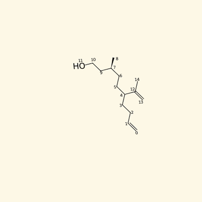 C=CCCC(CC[C@H](C)CCO)C(=C)C